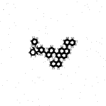 CC12CCCCC1(C)N(c1ccccc1)c1ccc(-c3cccc4c(-c5cc(-c6cccc7ccccc67)c6ccc7ccc(-c8cccc9ccccc89)c8ccc5c6c78)cccc34)cc12